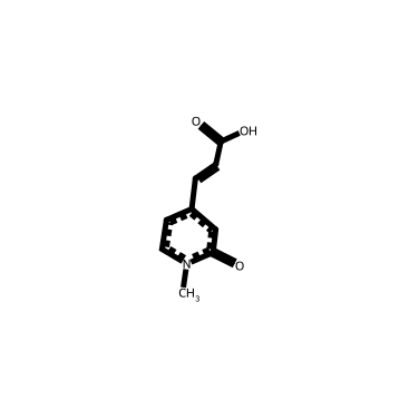 Cn1ccc(C=CC(=O)O)cc1=O